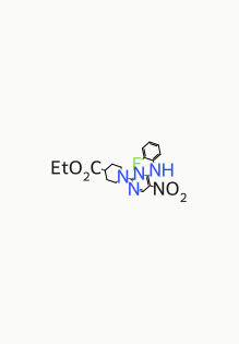 CCOC(=O)C1CCN(c2ncc([N+](=O)[O-])c(Nc3ccccc3F)n2)CC1